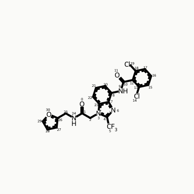 O=C(Cn1c(C(F)(F)F)nc2c(NC(=O)c3c(Cl)cccc3Cl)cccc21)NCc1ccco1